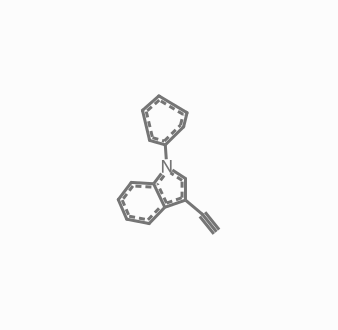 C#Cc1cn(-c2ccccc2)c2ccccc12